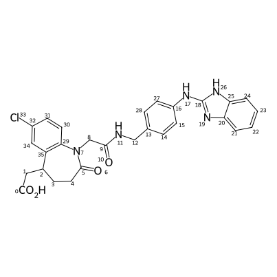 O=C(O)CC1CCC(=O)N(CC(=O)NCc2ccc(Nc3nc4ccccc4[nH]3)cc2)c2ccc(Cl)cc21